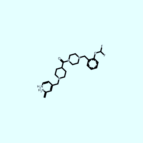 C=C(N)/C=C(\C=C/N)CN1CCC(C(=O)N2CCN(Cc3ccccc3OC(F)F)CC2)CC1